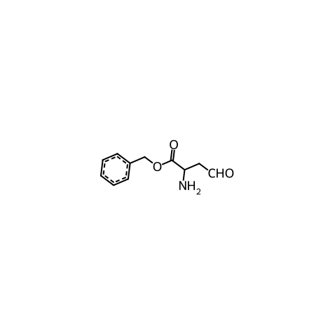 NC(CC=O)C(=O)OCc1ccccc1